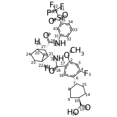 COc1cc(F)c([C@H]2CC[C@H](C(=O)O)CC2)cc1C(=O)N[C@@H]1[C@H]2CC[C@H](C2)[C@@H]1C(=O)Nc1cccc(S(=O)(=O)C(F)(F)F)c1